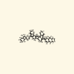 CC1(C)c2ccccc2Cc2ccc(-n3c4ccccc4c4c5oc6c(ccc7c6c6ccccc6n7-c6ccc7c(c6)C(C)(C)c6ccccc6-7)c5ccc43)cc21